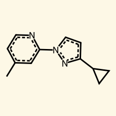 Cc1ccnc(-n2ccc(C3CC3)n2)c1